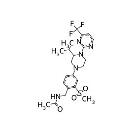 CC(=O)NCc1ccc(N2CCN(c3nccc(C(F)(F)F)n3)C(C(C)C)C2)cc1S(C)(=O)=O